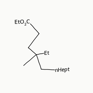 CCCCCCCCC(C)(CC)CCC(=O)OCC